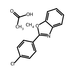 C.CC(=O)O.Clc1ccc(-c2nc3ccccc3o2)cc1